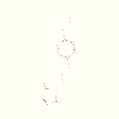 O=C(O)CCc1ccc(CCCN2C(=O)C=CC2=O)cc1